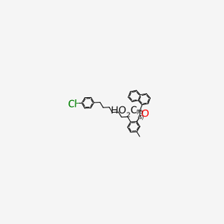 Cc1ccc(CCCCCCCc2ccc(Cl)cc2)c([C@@H]2O[C@]2(C(=O)O)c2cccc3ccccc23)c1